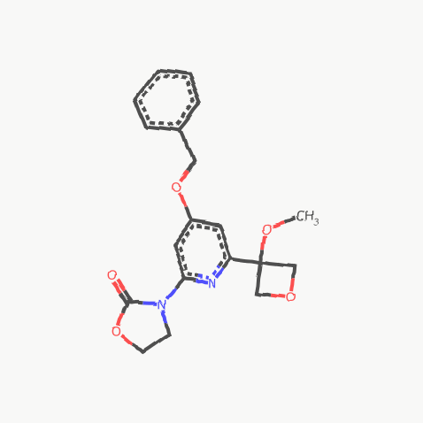 COC1(c2cc(OCc3ccccc3)cc(N3CCOC3=O)n2)COC1